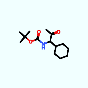 CC(=O)C(NC(=O)OC(C)(C)C)C1CCCCC1